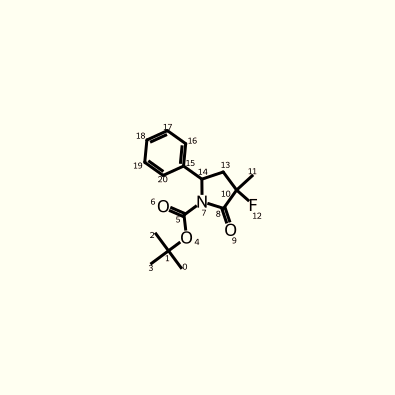 CC(C)(C)OC(=O)N1C(=O)C(C)(F)CC1c1ccccc1